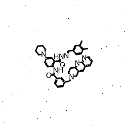 Cc1ccc(/C=N/NC(=O)c2cc(N3CCCCC3)ccc2NC(=O)c2cccc(CN3CCc4nc5ncccc5cc4C3)c2)cc1C